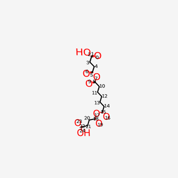 O=C(O)CCC(=O)OC(=O)CCCCCC(=O)OC(=O)CCC(=O)O